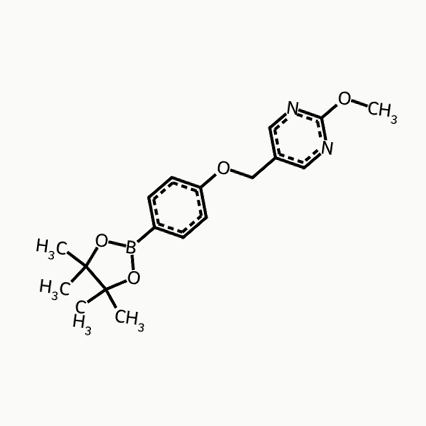 COc1ncc(COc2ccc(B3OC(C)(C)C(C)(C)O3)cc2)cn1